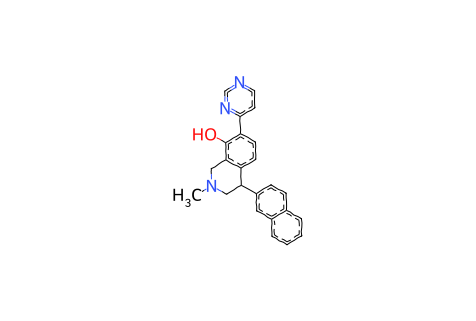 CN1Cc2c(ccc(-c3ccncn3)c2O)C(c2ccc3ccccc3c2)C1